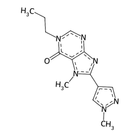 CCCn1cnc2nc(-c3cnn(C)c3)n(C)c2c1=O